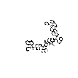 CC(C)(c1ccc(N(c2cccc3ccccc23)c2ccc3ccc4c(N(c5ccccc5)c5cccc6ccccc56)ccc5ccc2c3c54)cc1)c1ccc(N(c2cccc3ccccc23)c2ccc3ccc4c(N(c5ccccc5)c5cccc6ccccc56)ccc5ccc2c3c54)cc1